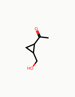 CC(=O)C1CC1CO